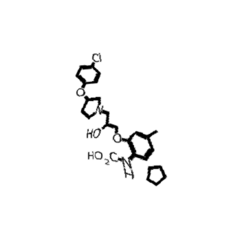 C1CCCC1.Cc1ccc(NC(=O)O)c(OCC(O)CN2CCC(Oc3ccc(Cl)cc3)C2)c1